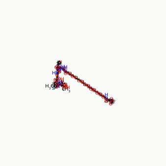 CC[C@@]1(O)C(=O)OCc2c1cc1n(c2=O)Cc2c-1nc1cc(F)c(C)c3c1c2[C@@H](NC(=O)[C@H](O)CCOCNC(=O)CNC(=O)[C@H](Cc1ccccc1)NC(=O)CNC(=O)CNC(=O)CCOCCOCCOCCOCCOCCOCCOCCOCCOCCOCCOCCOCCNC(=O)CCN1C(=O)C=CC1=O)CC3